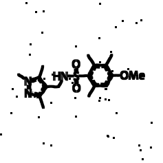 COc1cc(C)c(S(=O)(=O)NCc2c(C)nn(C)c2C)c(C)c1C